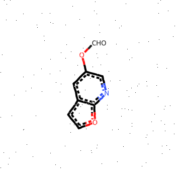 O=COc1cnc2occc2c1